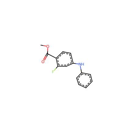 COC(=O)c1ccc(Nc2ccccc2)cc1F